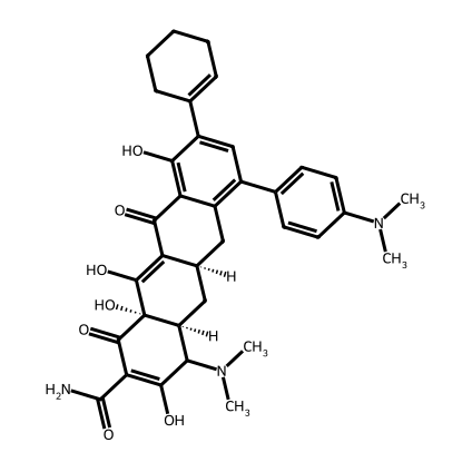 CN(C)c1ccc(-c2cc(C3=CCCCC3)c(O)c3c2C[C@H]2C[C@H]4C(N(C)C)C(O)=C(C(N)=O)C(=O)[C@@]4(O)C(O)=C2C3=O)cc1